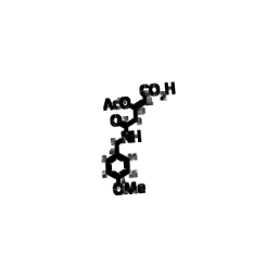 COc1ccc(CNC(=O)C/C(=C/C(=O)O)OC(C)=O)cc1